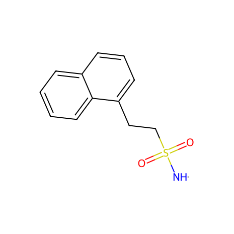 [NH]S(=O)(=O)CCc1cccc2ccccc12